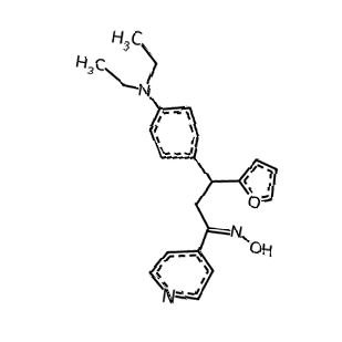 CCN(CC)c1ccc(C(CC(=NO)c2ccncc2)c2ccco2)cc1